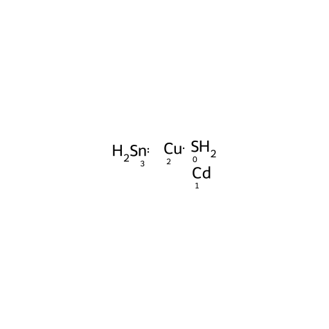 S.[Cd].[Cu].[SnH2]